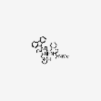 CN[C@@H](C)C(=O)N[C@H](C(=O)N1C[C@H]2CCCN2C[C@H]1C(=O)NC1c2ccccc2-c2ccccc21)C1CCCCC1